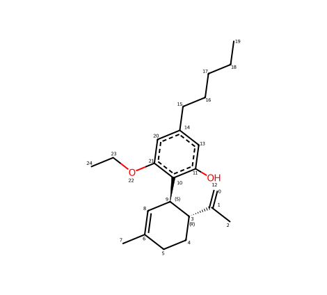 C=C(C)[C@@H]1CCC(C)=C[C@H]1c1c(O)cc(CCCCC)cc1OCC